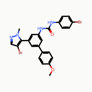 COc1ccc(-c2cc(NC(=O)Nc3ccc(Br)cc3)cc(-c3c(Br)cnn3C)c2)cc1